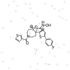 O=C(CC1(c2ccc(-c3ccc(F)cc3)s2)CCN(C(=O)c2ccsc2)CCS1(=O)=O)NO